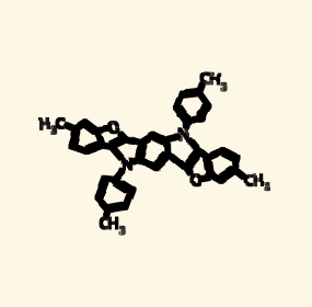 Cc1ccc(-n2c3cc4c5oc6cc(C)ccc6c5n(-c5ccc(C)cc5)c4cc3c3oc4cc(C)ccc4c32)cc1